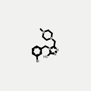 CN1CCN(Cc2nnc(S)n2Cc2cccc(Br)c2)CC1